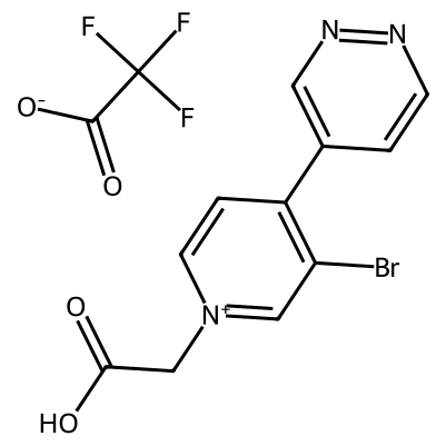 O=C(O)C[n+]1ccc(-c2ccnnc2)c(Br)c1.O=C([O-])C(F)(F)F